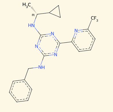 C[C@@H](Nc1nc(NCc2ccccc2)nc(-c2cccc(C(F)(F)F)n2)n1)C1CC1